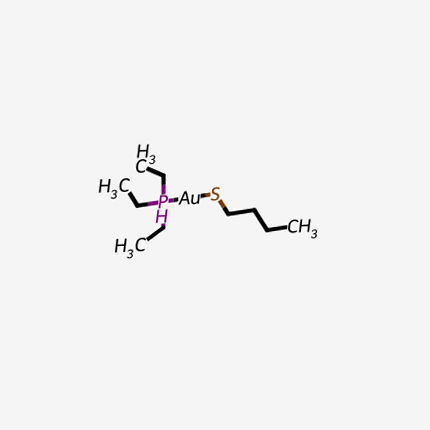 CCCC[S][Au][PH](CC)(CC)CC